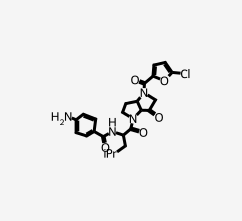 CC(C)CC(NC(=O)c1ccc(N)cc1)C(=O)N1CCC2C1C(=O)CN2C(=O)c1ccc(Cl)o1